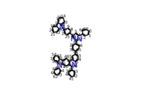 c1ccc(-c2cc(-c3ccc(-n4c5ccccc5c5ccccc54)cc3)nc(-c3ccc(-c4ccc5nc(-c6ccccc6)c6cc7c(cc6c5c4)c4ccccc4n7-c4ccccc4)cc3)n2)cc1